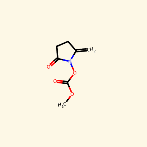 C=C1CCC(=O)N1OC(=O)OC